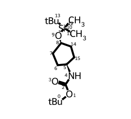 CC(C)(C)OC(=O)N[C@H]1CC[C@H](O[Si](C)(C)C(C)(C)C)CC1